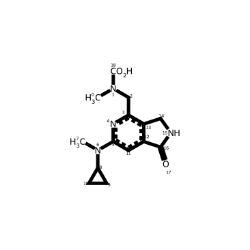 CN(Cc1nc(N(C)C2CC2)cc2c1CNC2=O)C(=O)O